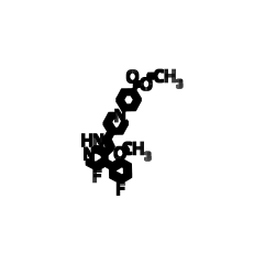 CCOC(=O)[C@H]1CC[C@@H](N2CC=C(c3cc4c(-c5cc(F)ccc5OC)c(F)cnc4[nH]3)CC2)CC1